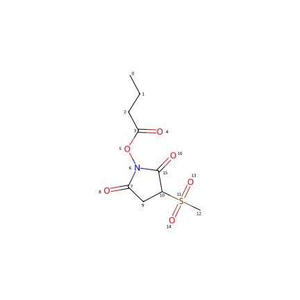 CCCC(=O)ON1C(=O)CC(S(C)(=O)=O)C1=O